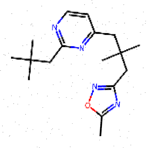 Cc1nc(CC(C)(C)Cc2ccnc(CC(C)(C)C)n2)no1